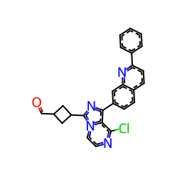 O=CC1CC(c2nc(-c3ccc4ccc(-c5ccccc5)nc4c3)c3c(Cl)nccn23)C1